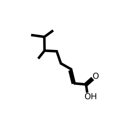 CC(C)C(C)CCC=CC(=O)O